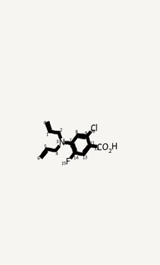 C=CCN(CC=C)c1cc(Cl)c(C(=O)O)cc1F